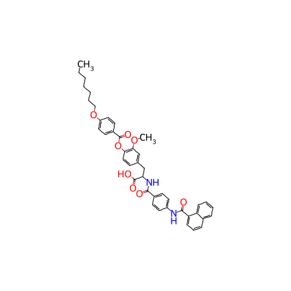 CCCCCCCOc1ccc(C(=O)Oc2ccc(CC(NC(=O)c3ccc(NC(=O)c4cccc5ccccc45)cc3)C(=O)O)cc2OC)cc1